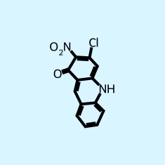 O=c1c2cc3ccccc3[nH]c-2cc(Cl)c1[N+](=O)[O-]